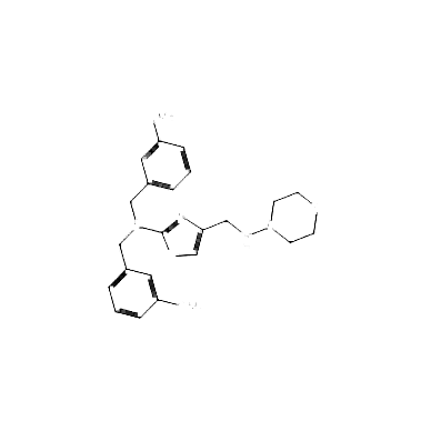 COc1cccc(CN(Cc2cccc(OC)c2)c2nc(CNN3CCOCC3)cs2)c1